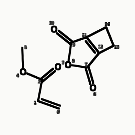 C=CC(=O)OC.O=C1OC(=O)C2=C1CC2